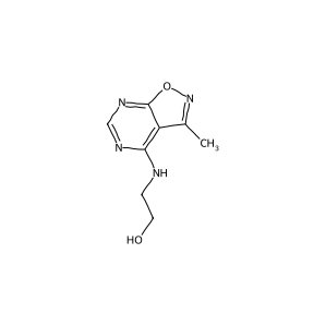 Cc1noc2ncnc(NCCO)c12